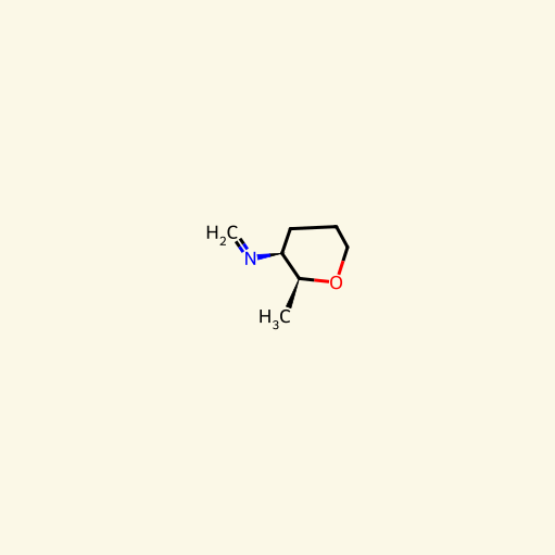 C=N[C@H]1CCCO[C@H]1C